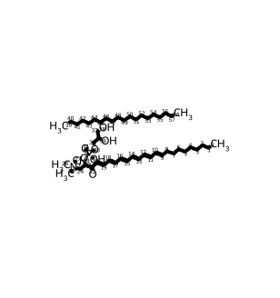 CCCCCCCCCC=CC=CC=CC=CC=CC=CC(=O)C(C[N+](C)(C)C)OP(=O)(O)OCC(O)CO.CCCCCCCCCCCCCCCCCCCC